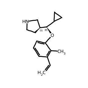 C=Cc1cccc(O[C@H](C2CC2)[C@H]2CCNC2)c1C